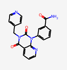 NC(=O)c1cccc(-n2c(=O)n(Cc3ccncc3)c(=O)c3cccnc32)c1